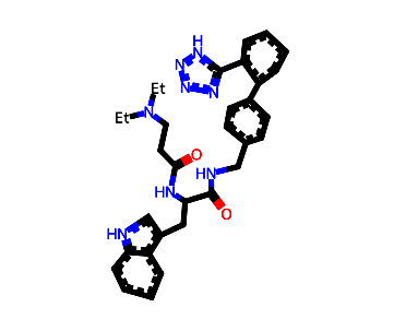 CCN(CC)CCC(=O)NC(Cc1c[nH]c2ccccc12)C(=O)NCc1ccc(-c2ccccc2-c2nnn[nH]2)cc1